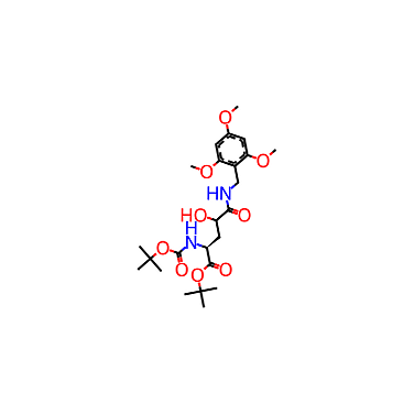 COc1cc(OC)c(CNC(=O)C(O)C[C@H](NC(=O)OC(C)(C)C)C(=O)OC(C)(C)C)c(OC)c1